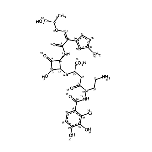 C[C@H](O/N=C(\C(=O)N[C@@H]1C(=O)N(O)C1S[C@@H](CC(=O)N(CCN)NC(=O)c1ccc(O)c(O)c1Cl)C(=O)O)c1csc(N)n1)C(=O)O